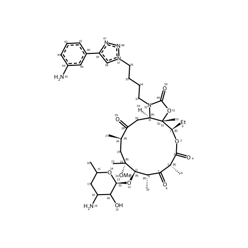 CC[C@H]1OC(=O)[C@H](C)C(=O)[C@H](C)[C@@H](O[C@@H]2OC(C)CC(N)C2O)[C@](C)(OC)C[C@@H](C)C(=O)C[C@H]2N(CCCCn3cc(-c4cccc(N)c4)nn3)C(=O)O[C@]12C